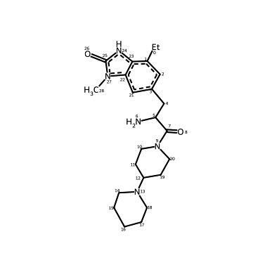 CCc1cc(CC(N)C(=O)N2CCC(N3CCCCC3)CC2)cc2c1[nH]c(=O)n2C